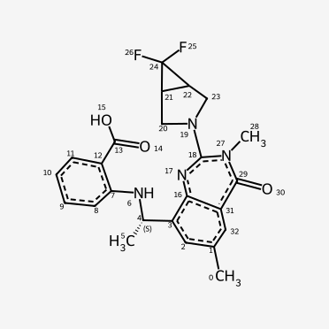 Cc1cc([C@H](C)Nc2ccccc2C(=O)O)c2nc(N3CC4C(C3)C4(F)F)n(C)c(=O)c2c1